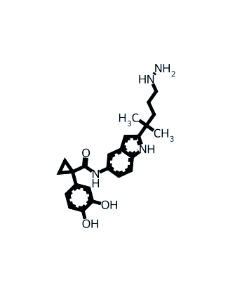 CC(C)(CCCNN)c1cc2cc(NC(=O)C3(c4ccc(O)c(O)c4)CC3)ccc2[nH]1